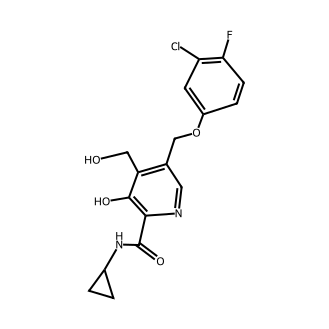 O=C(NC1CC1)c1ncc(COc2ccc(F)c(Cl)c2)c(CO)c1O